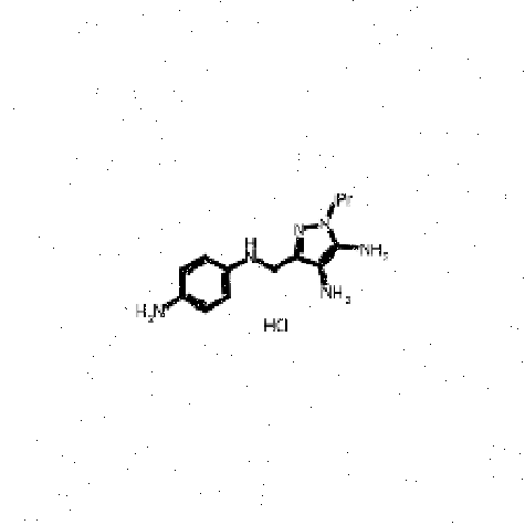 CC(C)n1nc(CNc2ccc(N)cc2)c(N)c1N.Cl